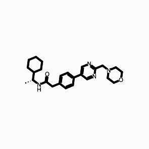 C[C@@H](NC(=O)Cc1ccc(-c2cnc(CN3CCOCC3)nc2)cc1)C1CCCCC1